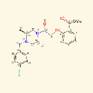 COC(=O)c1ccccc1OCC(=O)N1C[C@H](C)N(Cc2ccc(F)cc2)C[C@H]1C